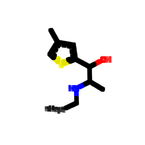 CCCCCCCCNC(C)C(O)c1cc(C)cs1